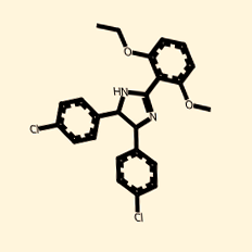 CCOc1cccc(OC)c1C1=NC(c2ccc(Cl)cc2)C(c2ccc(Cl)cc2)N1